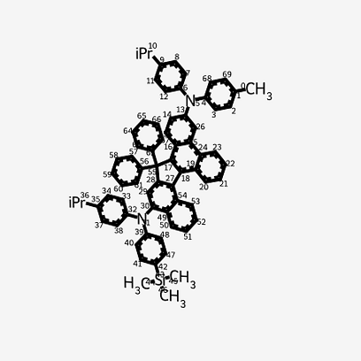 Cc1ccc(N(c2ccc(C(C)C)cc2)c2ccc3c4c(c5ccccc5c3c2)-c2c(cc(N(c3ccc(C(C)C)cc3)c3ccc([Si](C)(C)C)cc3)c3ccccc23)C4(c2ccccc2)c2ccccc2)cc1